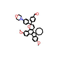 COc1ccc2c(c1)C1(CCCCCCC1)c1c3c(c4cc(OC)ccc4c1-2)OC(c1ccc(C=O)cc1)(c1ccc(N2CCOCC2)cc1)C=C3